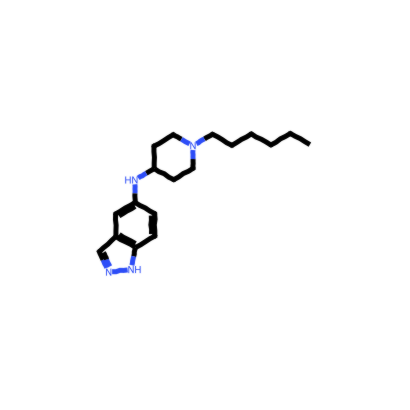 CCCCCCN1CCC(Nc2ccc3[nH]ncc3c2)CC1